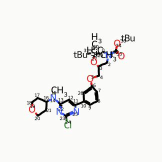 CN(CC(COc1cccc(-c2cc(N(C)C3CCOCC3)nc(Cl)n2)c1)O[Si](C)(C)C(C)(C)C)C(=O)OC(C)(C)C